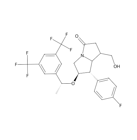 C[C@@H](O[C@H]1CN2C(=O)CC(CO)C2[C@@H]1c1ccc(F)cc1)c1cc(C(F)(F)F)cc(C(F)(F)F)c1